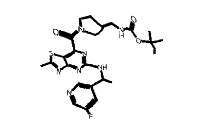 Cc1nc2nc(NC(C)c3cncc(F)c3)nc(C(=O)N3CCC(CNC(=O)OC(C)(C)C)C3)c2s1